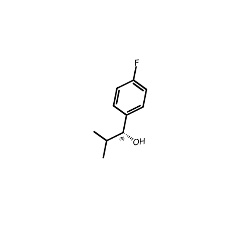 CC(C)[C@@H](O)c1ccc(F)cc1